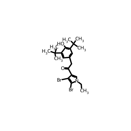 CCn1cc(C(=O)Cc2cc(C(C)(C)C)c(O)c(C(C)(C)C)c2)c(Br)c1Br